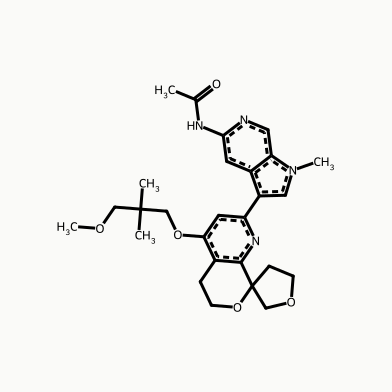 COCC(C)(C)COc1cc(-c2cn(C)c3cnc(NC(C)=O)cc23)nc2c1CCOC21CCOC1